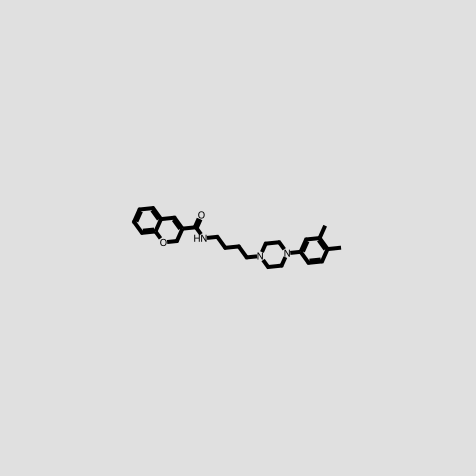 Cc1ccc(N2CCN(CCCCNC(=O)C3=Cc4ccccc4OC3)CC2)cc1C